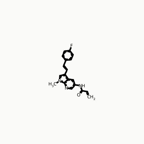 C=CC(=O)Nc1cnc2c(c1)c(C=Cc1ccc(F)cc1)cn2C